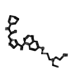 CCN(CCO)CCCOc1ccc2c(Nc3cnn(CC(=O)Nc4ccccc4)c3)ncnc2c1